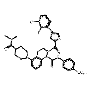 CN(C)C(=O)C1CCN(c2cccc3c2CCN(C(=O)c2cn(-c4cccc(Cl)c4F)cn2)C3C(=O)Nc2ccc(C(=O)O)cc2)CC1